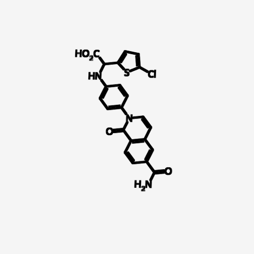 NC(=O)c1ccc2c(=O)n(-c3ccc(NC(C(=O)O)c4ccc(Cl)s4)cc3)ccc2c1